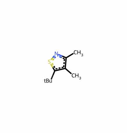 Cc1nsc(C(C)(C)C)c1C